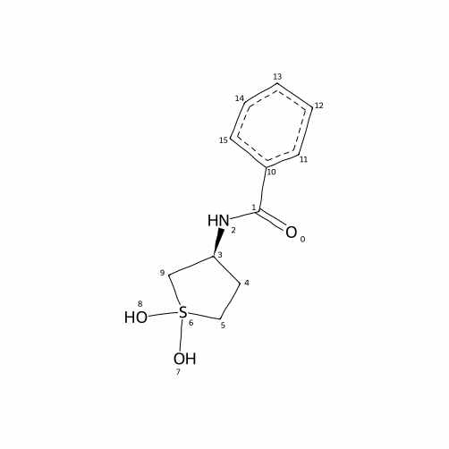 O=C(N[C@H]1CCS(O)(O)C1)c1ccccc1